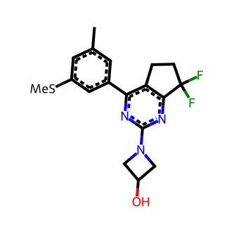 CSc1cc(C)cc(-c2nc(N3CC(O)C3)nc3c2CCC3(F)F)c1